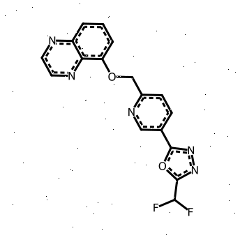 FC(F)c1nnc(-c2ccc(COc3cccc4nccnc34)nc2)o1